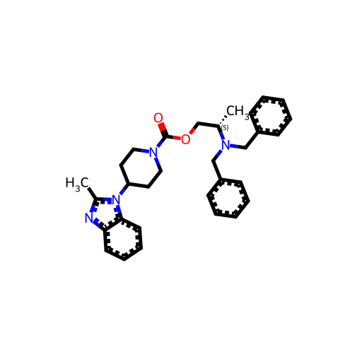 Cc1nc2ccccc2n1C1CCN(C(=O)OC[C@H](C)N(Cc2ccccc2)Cc2ccccc2)CC1